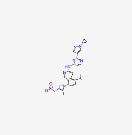 CC1=C(C[N+](=O)[O-])CN1c1ccc(C(C)C)c2cc(Nc3ccnc(-c4cnn(C5CC5)c4)n3)ncc12